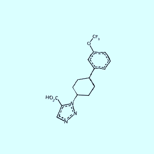 O=C(O)c1cnnn1C1CCC(c2cccc(OC(F)(F)F)c2)CC1